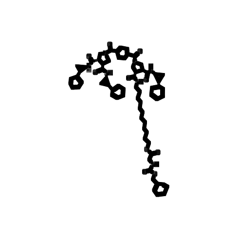 O=C(CNC(=O)OCc1ccccc1)OCCCCCCCCCCCCNC(=O)[C@@H]1CN(C(=O)c2ccc(C(=O)N3C[C@@H](C(=O)N[C@H]4C[C@@H]4c4ccccc4)[C@H](C(=O)N[C@H]4C[C@@H]4c4ccccc4)C3)cc2)C[C@H]1C(=O)N[C@H]1C[C@@H]1c1ccccc1